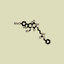 COc1ccc2c3c([nH]c2c1)[C@H](CC(C)C)N1C(=O)[C@H](CCCCNC(=O)OCc2ccccc2)NC(=O)[C@@H]1C3